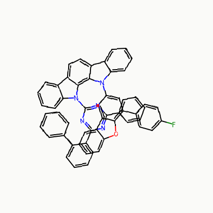 Fc1ccc(-c2cc(-n3c4ccccc4c4ccc5c6ccccc6n(-c6nc(-c7ccccc7)nc(-c7ccccc7-c7ccccc7)n6)c5c43)cc3c2oc2ccccc23)cc1